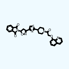 O=C(COc1cccc2cccnc12)N1CCC(c2nc(C3=NOC(N4C(=O)c5ccccc5C4=O)C3)cs2)CC1